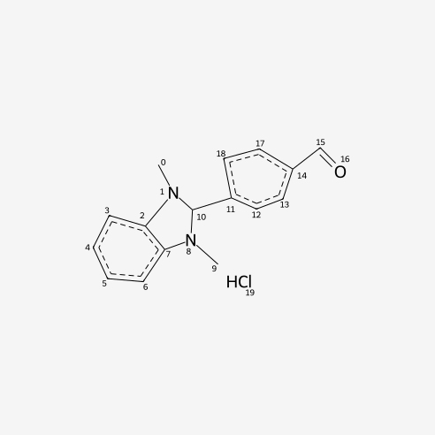 CN1c2ccccc2N(C)C1c1ccc(C=O)cc1.Cl